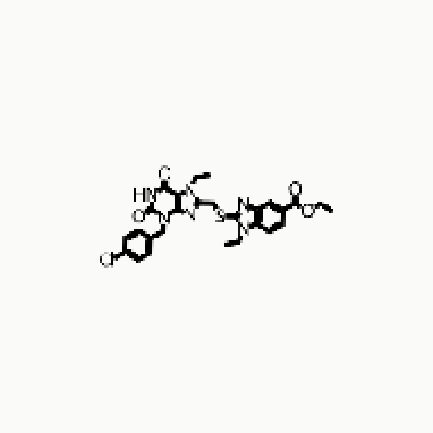 CCOC(=O)c1ccc2c(c1)nc(SCc1nc3c(c(=O)[nH]c(=O)n3Cc3ccc(Cl)cc3)n1CC)n2CC